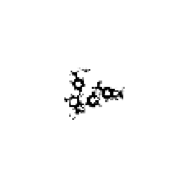 COC(=O)c1ccc(OC2CN(C)Cc3c(C(F)(F)F)nn(-c4ccnc(OC(C)c5ccc6c(c5)OC(F)(F)O6)c4)c32)cc1